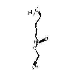 C#CCO[PH](=O)CCCC=C